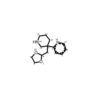 c1ccc(C2(CC3OCCO3)CCCNC2)nc1